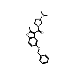 Cc1oc2ccc(OCc3ccccc3)cc2c1C(=O)N1CC[C@@H](N(C)C)C1